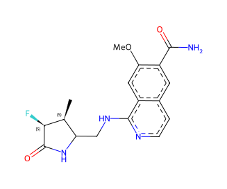 COc1cc2c(NCC3NC(=O)[C@@H](F)[C@H]3C)nccc2cc1C(N)=O